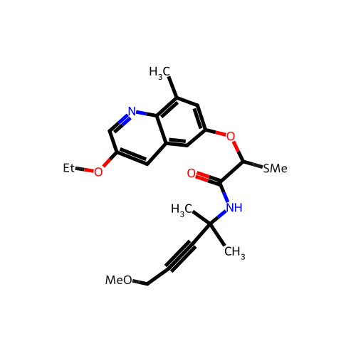 CCOc1cnc2c(C)cc(OC(SC)C(=O)NC(C)(C)C#CCOC)cc2c1